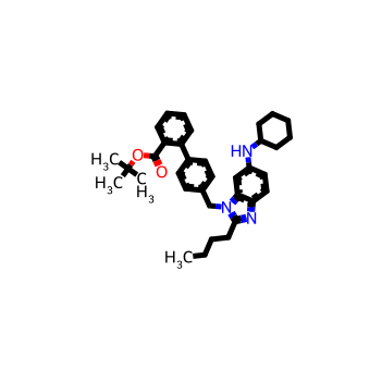 CCCCc1nc2ccc(NC3CCCCC3)cc2n1Cc1ccc(-c2ccccc2C(=O)OC(C)(C)C)cc1